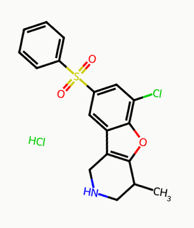 CC1CNCc2c1oc1c(Cl)cc(S(=O)(=O)c3ccccc3)cc21.Cl